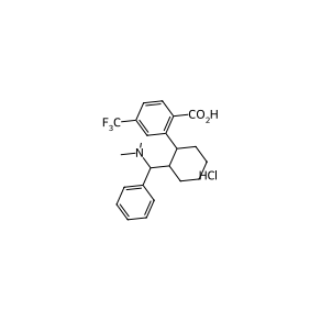 CN(C)C(c1ccccc1)C1CCCCC1c1cc(C(F)(F)F)ccc1C(=O)O.Cl